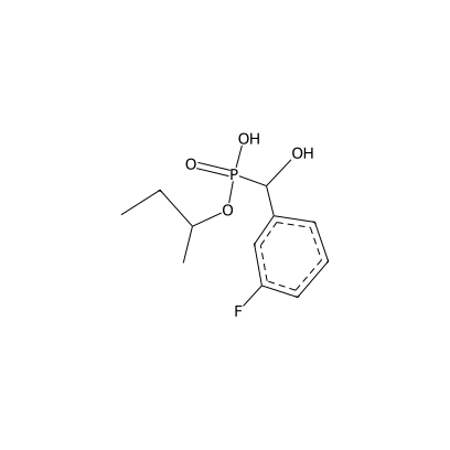 CCC(C)OP(=O)(O)C(O)c1cccc(F)c1